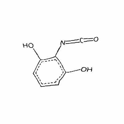 O=C=Nc1c(O)cccc1O